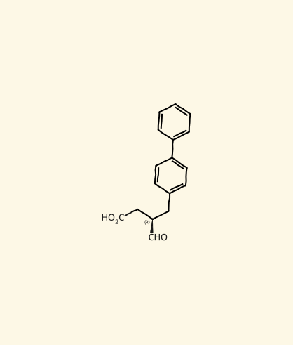 O=C[C@@H](CC(=O)O)Cc1ccc(-c2ccccc2)cc1